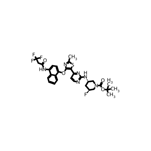 Cc1nc(Oc2ccc(NC(=O)CC(F)(F)F)c3ccccc23)c(-c2ccnc(N[C@H]3C[C@H](F)CN(C(=O)OC(C)(C)C)C3)n2)s1